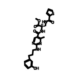 COC(=O)[C@H](CNC(=O)c1cccs1)NC(=O)c1cnc(NCCCc2cccc(O)c2)nc1C